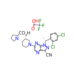 C[C@@H]1CN(c2cnc3c(C#N)nn([C@H](C)c4ccc(Cl)cc4Cl)c3n2)CC[C@@H]1N1CCC[C@H]1C(=O)O.O=C(O)C(F)(F)F